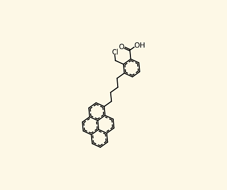 O=C(O)c1cccc(CCCCc2ccc3ccc4cccc5ccc2c3c45)c1CCl